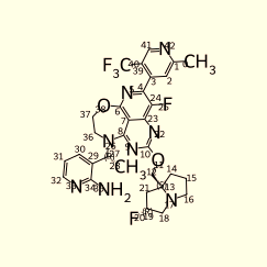 Cc1cc(-c2nc3c4c(nc(OC[C@@]56CCCN5C[C@H](F)C6)nc4c2F)N([C@H](C)c2cccnc2N)CCO3)c(C(F)(F)F)cn1